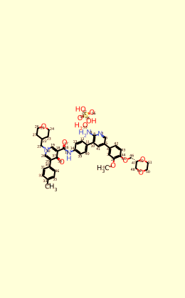 COc1cc(-c2cnc(N)c(-c3ccc(NC(=O)c4cn(CC5CCOCC5)cc(-c5ccc(C)cc5)c4=O)cc3)c2)ccc1OC[C@H]1COCCO1.O.O=S(=O)(O)O